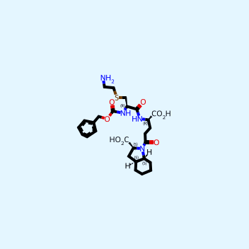 NCCSC[C@H](NC(=O)OCc1ccccc1)C(=O)N[C@H](CCC(=O)N1[C@H](C(=O)O)C[C@@H]2CCCC[C@@H]21)C(=O)O